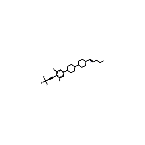 CCC/C=C/C1CCC(C2CCC(c3cc(F)c(C#CC(F)(F)F)c(F)c3)CC2)CC1